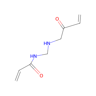 C=CC(=O)CNCNC(=O)C=C